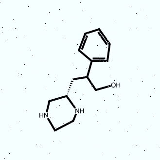 OCC(C[C@H]1CNCCN1)c1ccccc1